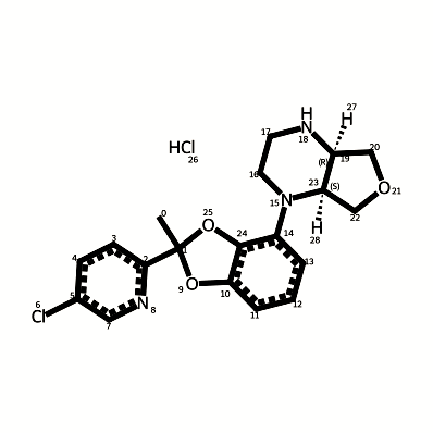 CC1(c2ccc(Cl)cn2)Oc2cccc(N3CCN[C@H]4COC[C@H]43)c2O1.Cl